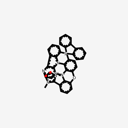 Cn1c2[n+](c3ccccc31)[N+]13c4c(cccc4-2)Oc2ccc4c(c21)-n1c2c(cccc2c2ncc[n+]3c21)[Si]41c2ccccc2-c2ccccc21